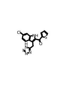 O=C(c1cccs1)c1[nH]c2cc(Cl)ccc2c1Cc1nnn[nH]1